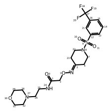 O=C(CON=C1CCN(S(=O)(=O)c2cccc(C(F)(F)F)c2)CC1)NCCN1CCOCC1